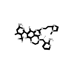 Cc1cc(N)nc(-c2c(Cl)c3c4c(nc(OCCc5nccn5C)nc4c2F)N([C@H](C)c2cccnc2N)CCO3)c1C(F)(F)F